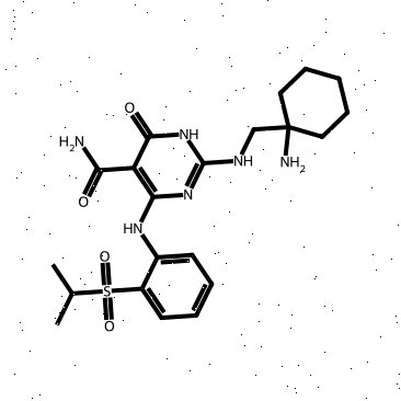 CC(C)S(=O)(=O)c1ccccc1Nc1nc(NCC2(N)CCCCC2)[nH]c(=O)c1C(N)=O